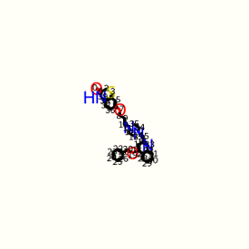 O=C1CSc2cc(OCCCN3CCN(Cc4cc(OCc5ccccc5)c5ccccc5n4)CC3)ccc2N1